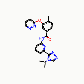 Cc1ccc(C(=O)Nc2cccc(-c3nncn3C(C)C)n2)cc1Oc1cccnn1